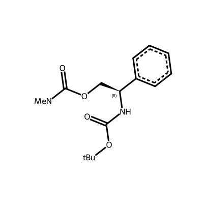 CNC(=O)OC[C@H](NC(=O)OC(C)(C)C)c1ccccc1